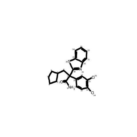 NC(=O)C(CC1CCCC1)(c1ccc(Cl)c(Cl)c1)c1nc2ccccc2s1